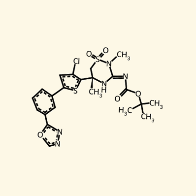 CN1/C(=N/C(=O)OC(C)(C)C)N[C@](C)(c2sc(-c3cccc(-c4nnco4)c3)cc2Cl)CS1(=O)=O